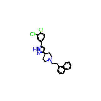 Clc1ccc(-c2cc(C3CCN(CCc4cccc5ccccc45)CC3)n[nH]2)cc1Cl